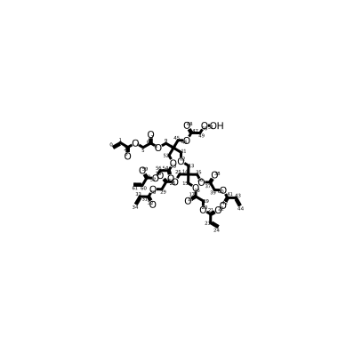 C=CC(=O)OCC(=O)OCC(COCC(COC(=O)COC(=O)C=C)(COC(=O)COC(=O)C=C)COC(=O)COC(=O)C=C)(COC(=O)COO)COC(=O)COC(=O)C=C